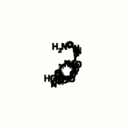 CC[C@H]1OC(=O)[C@@](C)(F)C(=O)[C@H](C)[C@@H](O[C@@H]2O[C@H](C)CC(N(C)C)C2O)[C@](C)(OC)C[C@@H](C)CN(C)[C@H](C)[C@H]2N(CCCCn3cc(-c4cccc(N)c4)nn3)C(=O)O[C@]12C